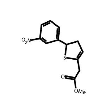 COC(=O)CC1=CCC(c2cccc([N+](=O)[O-])c2)S1